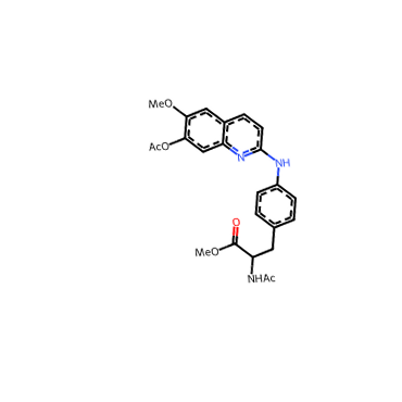 COC(=O)C(Cc1ccc(Nc2ccc3cc(OC)c(OC(C)=O)cc3n2)cc1)NC(C)=O